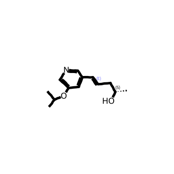 CC(C)Oc1cncc(/C=C/C[C@H](C)O)c1